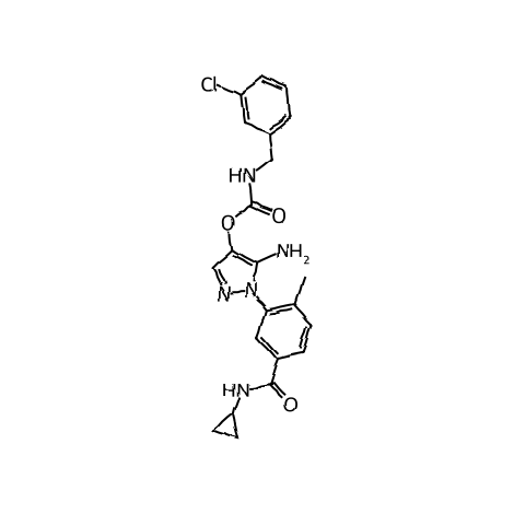 Cc1ccc(C(=O)NC2CC2)cc1-n1ncc(OC(=O)NCc2cccc(Cl)c2)c1N